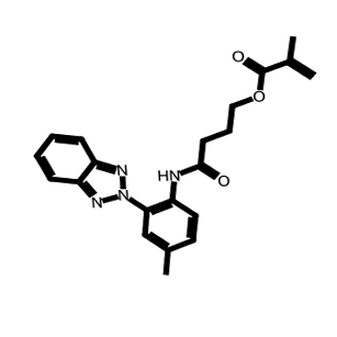 C=C(C)C(=O)OCCCC(=O)Nc1ccc(C)cc1-n1nc2ccccc2n1